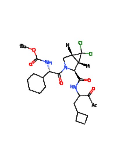 CC(=O)C(=O)C(CC1CCC1)NC(=O)[C@@H]1[C@@H]2[C@H](CN1C(=O)[C@@H](NC(=O)OC(C)(C)C)C1CCCCC1)C2(Cl)Cl